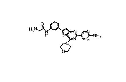 NCC(=O)Nc1cccc(-c2cc3nc(-c4cnc(N)nc4)nc(N4CCOCC4)c3s2)c1